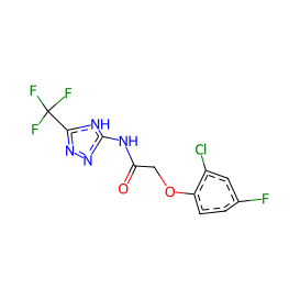 O=C(COc1ccc(F)cc1Cl)Nc1nnc(C(F)(F)F)[nH]1